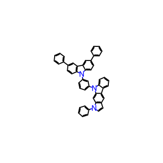 c1ccc(-c2ccc3c(c2)c2cc(-c4ccccc4)ccc2n3-c2cccc(-n3c4ccccc4c4cc5ccn(-c6ccccc6)c5cc43)c2)cc1